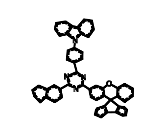 c1ccc2c(c1)Oc1cc(-c3nc(-c4ccc(-n5c6ccccc6c6ccccc65)cc4)nc(-c4ccc5ccccc5c4)n3)ccc1C21c2ccccc2-c2ccccc21